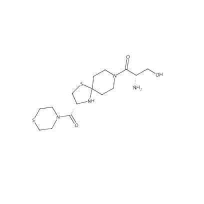 N[C@@H](CO)C(=O)N1CCC2(CC1)N[C@H](C(=O)N1CCSCC1)CS2